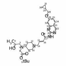 CC(O)CN(CC(=O)OC(C)(C)C)C1CCN(C/C=C/C(=O)Nc2ncc3ccc(OCC4CC4)cc3n2)CC1